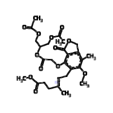 COC(=O)CC/C(C)=C/Cc1c(OC)c(C)c2c(c1OCC(=O)OC(COC(C)=O)COC(C)=O)C(=O)OC2